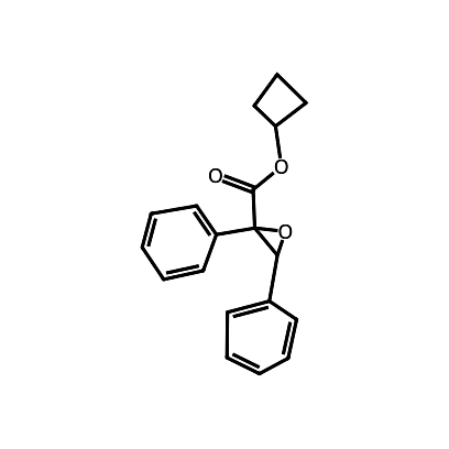 O=C(OC1CCC1)C1(c2ccccc2)OC1c1ccccc1